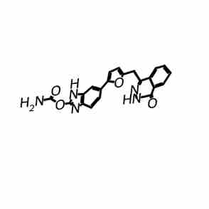 NC(=O)Oc1nc2ccc(-c3ccc(Cc4n[nH]c(=O)c5ccccc45)o3)cc2[nH]1